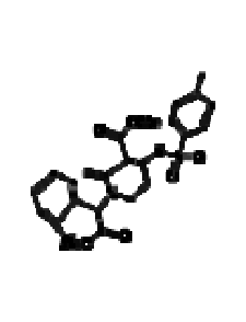 C=C1C(C(=O)OC)C(SS(=O)(=O)c2ccc(C)cc2)CCN1C(C(=O)OC)c1ccccc1Cl